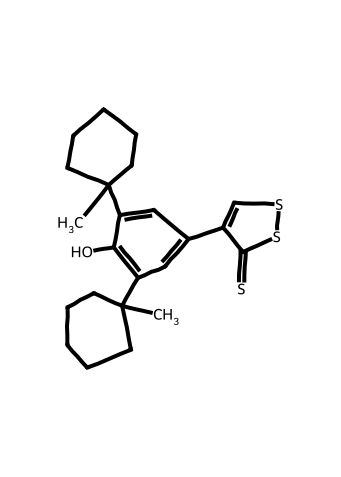 CC1(c2cc(-c3cssc3=S)cc(C3(C)CCCCC3)c2O)CCCCC1